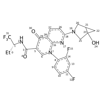 CC[C@@H](NC(=O)c1cn(-c2ccc(F)cc2F)c2nc(N3CC4CC4(O)C3)ccc2c1=O)C(F)(F)F